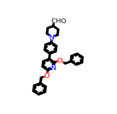 O=CC1CCN(c2ccc(-c3ccc(OCc4ccccc4)nc3OCc3ccccc3)cc2)CC1